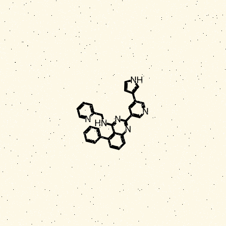 c1ccc(-c2cccc3nc(-c4cncc(-c5cc[nH]c5)c4)nc(NCc4ccccn4)c23)cc1